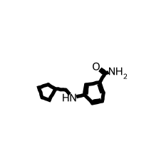 NC(=O)c1cccc(NCC2CCCC2)c1